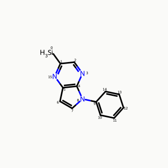 [SiH3]c1cnc2c(ccn2-c2ccccc2)n1